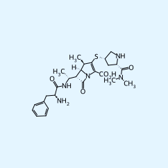 C[C@@H](NC(=O)[C@@H](N)Cc1ccccc1)[C@H]1C(=O)N2C(C(=O)O)=C(S[C@@H]3CN[C@H](C(=O)N(C)C)C3)[C@H](C)[C@H]12